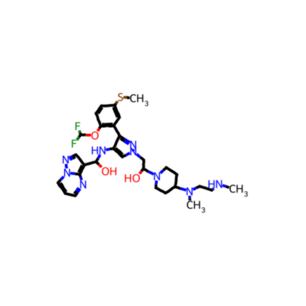 CNCCN(C)C1CCN(C(O)Cn2cc(NC(O)c3cnn4cccnc34)c(-c3cc(SC)ccc3OC(F)F)n2)CC1